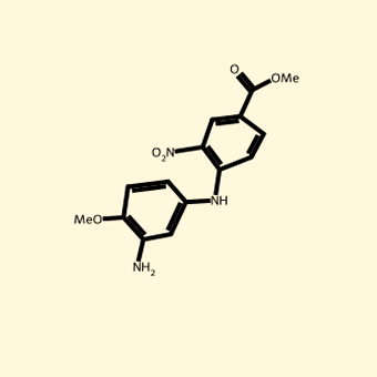 COC(=O)c1ccc(Nc2ccc(OC)c(N)c2)c([N+](=O)[O-])c1